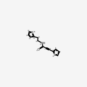 O=C(C#Cc1cccs1)NCCc1cccs1